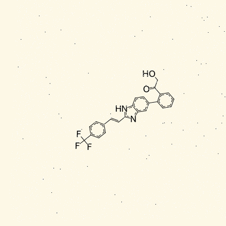 O=C(CO)c1ccccc1-c1ccc2[nH]c(/C=C/c3ccc(C(F)(F)F)cc3)nc2c1